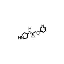 O=C(COc1cccnc1)NC1CCNCC1